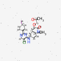 CC(=O)COc1cc2cc(Nc3nc(C4=CCC(I)CC4)ncc3Cl)ccc2n(C)c1=O